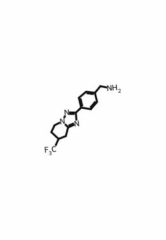 NCc1ccc(-c2nc3n(n2)CCC(C(F)(F)F)C3)cc1